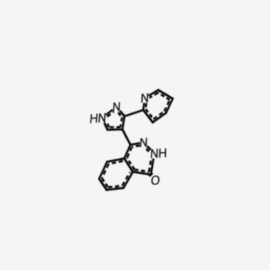 O=c1[nH]nc(-c2c[nH]nc2-c2ccccn2)c2ccccc12